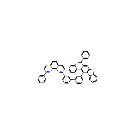 c1ccc(-c2ccc3ccc4ccc(-c5cccc(-c6cccc(-c7c8c(cc9c(-c%10ccccc%10)nc%10ccccc%10c79)oc7ccccc78)c6)c5)nc4c3n2)cc1